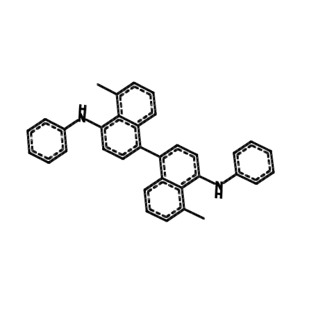 Cc1cccc2c(-c3ccc(Nc4ccccc4)c4c(C)cccc34)ccc(Nc3ccccc3)c12